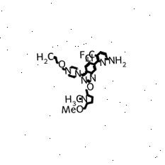 C=CCOCN1CCN(c2nc(OCC3CCC(COC)N3C)nc3cc(-c4nc(N)ccc4C(F)(F)F)c(Cl)cc23)CC1